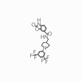 O=C(NCC1CCN(c2cc(C(F)(F)F)cc(C(F)(F)F)c2)CC1)c1ccc2[nH]c(=O)oc2c1